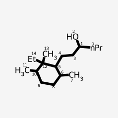 CCCC(O)CCC1C(C)CCC(C)C1(C)CC